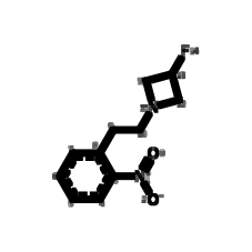 O=[N+]([O-])c1ccccc1CCN1CC(F)C1